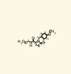 COCNC(=O)C1CSC(=O)N1Cc1ccc(OC)cc1